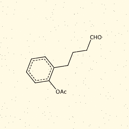 CC(=O)Oc1ccccc1CCC[C]=O